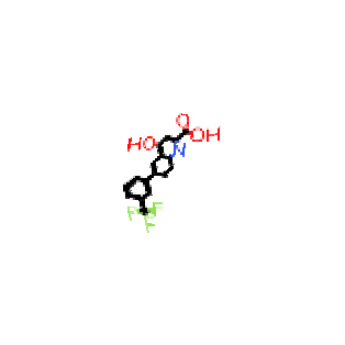 O=C(O)c1cc(O)c2cc(-c3cccc(C(F)(F)F)c3)ccc2n1